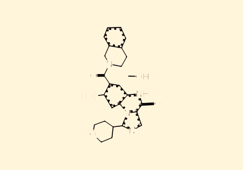 Cc1cc2c(cc1C(=O)N1Cc3ccccc3C[C@@H]1CO)[nH]c(=O)c1cnc(C3CCOCC3)n12